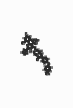 COC(=O)C1=C(CN2CCN3C(=O)N(c4ccc(Sc5ccc(C#N)cc5)cc4)C[C@@H]3C2)NC(c2nccs2)=N[C@H]1c1ccc(F)cc1Cl